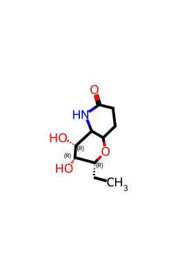 CC[C@H]1OC2CCC(=O)NC2[C@@H](O)[C@H]1O